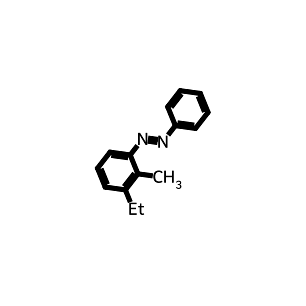 CCc1cccc(N=Nc2ccccc2)c1C